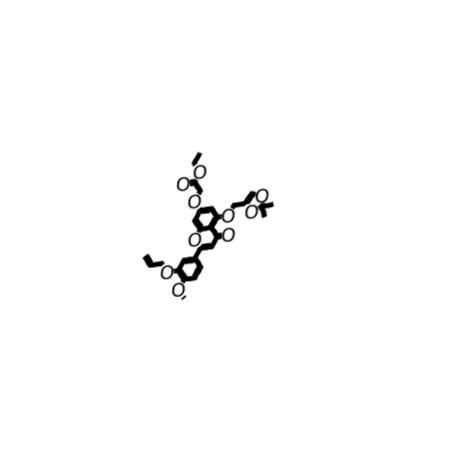 C=CCOc1cc(-c2cc(=O)c3c(OCC4=COC(C)(C)O4)cc(OCC(=O)OCC)cc3o2)ccc1OC